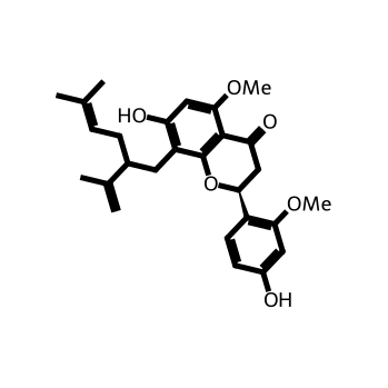 C=C(C)C(CC=C(C)C)Cc1c(O)cc(OC)c2c1O[C@H](c1ccc(O)cc1OC)CC2=O